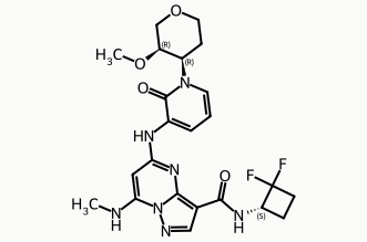 CNc1cc(Nc2cccn([C@@H]3CCOC[C@@H]3OC)c2=O)nc2c(C(=O)N[C@H]3CCC3(F)F)cnn12